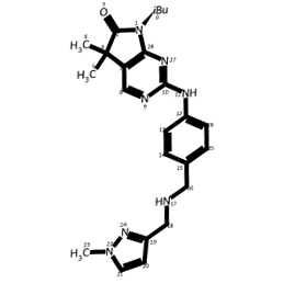 CC[C@H](C)N1C(=O)C(C)(C)c2cnc(Nc3ccc(CNCc4ccn(C)n4)cc3)nc21